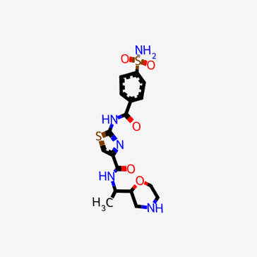 CC(NC(=O)c1csc(NC(=O)c2ccc(S(N)(=O)=O)cc2)n1)C1CNCCO1